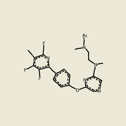 CC(=O)N(C)CCN(C)c1cncc(Oc2ccc(-c3nc(F)c(C)c(F)c3F)cc2)n1